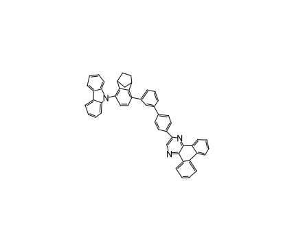 c1cc(-c2ccc(-c3cnc4c5ccccc5c5ccccc5c4n3)cc2)cc(-c2ccc(-n3c4ccccc4c4ccccc43)c3c2C2CCC3C2)c1